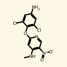 CNc1cc(Oc2c(Cl)cc(N)cc2Cl)ncc1[N+](=O)[O-]